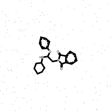 O=C1c2ccccc2C(=O)N1C[C](NC1CCCCC1)Oc1ccccc1